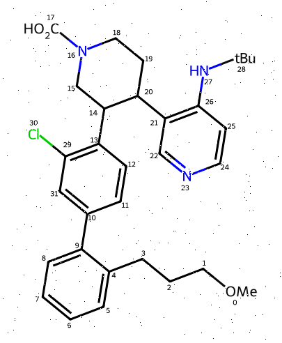 COCCCc1ccccc1-c1ccc(C2CN(C(=O)O)CCC2c2cnccc2NC(C)(C)C)c(Cl)c1